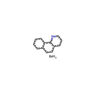 [BeH2].c1ccc2c(c1)ccc1cccnc12